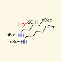 CCCCCCCCCCCCCCNCCCC.CCCCCCCCCCCCCCNCCCC.O=S(=O)(O)O